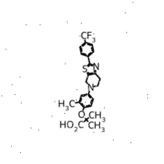 Cc1cc(N2CCc3nc(-c4ccc(C(F)(F)F)cc4)sc3C2)ccc1OC(C)(C)C(=O)O